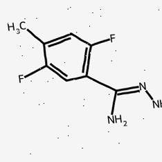 Cc1cc(F)c(C(N)=NN)cc1F